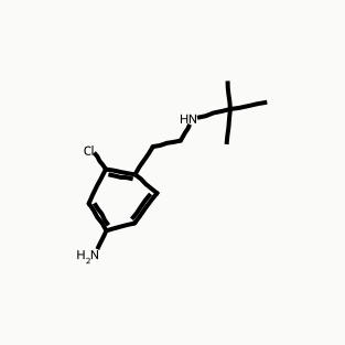 CC(C)(C)NCCc1ccc(N)cc1Cl